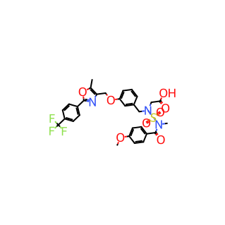 COc1ccc(C(=O)N(C)S(=O)(=O)N(CC(=O)O)Cc2cccc(OCc3nc(-c4ccc(C(F)(F)F)cc4)oc3C)c2)cc1